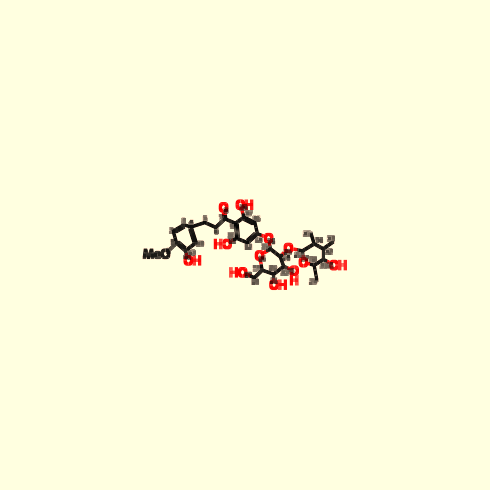 COc1ccc(CCC(=O)c2c(O)cc(OC3OC(CO)C(O)C(O)C3OC3OC(C)C(O)C(C)C3C)cc2O)cc1O